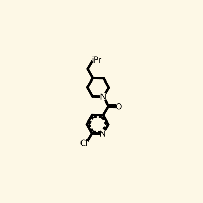 CC(C)CC1CCN(C(=O)c2ccc(Cl)nc2)CC1